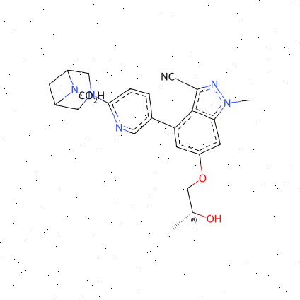 C[C@@H](O)COc1cc(-c2ccc(N3CC4CC(C3)N4C(=O)O)nc2)c2c(C#N)nn(C)c2c1